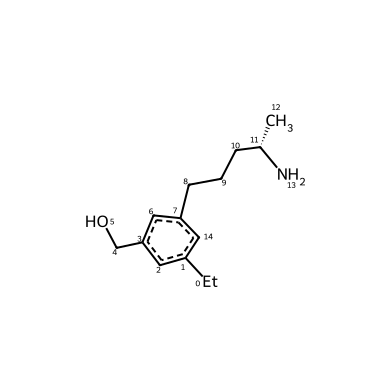 CCc1cc(CO)cc(CCC[C@H](C)N)c1